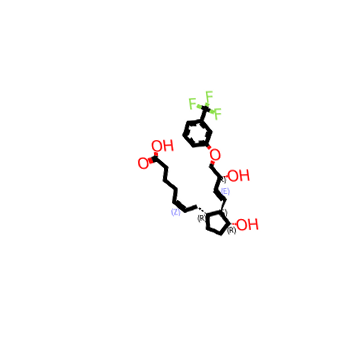 O=C(O)CCC/C=C\C[C@H]1CC[C@@H](O)[C@@H]1/C=C/[C@@H](O)COc1cccc(C(F)(F)F)c1